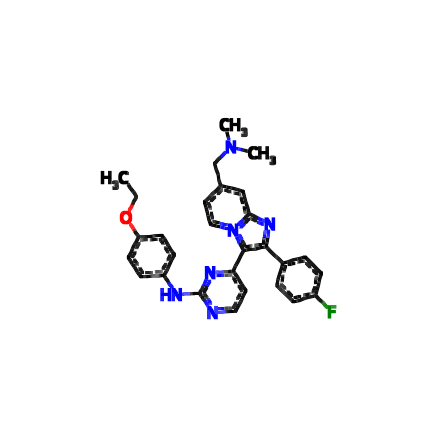 CCOc1ccc(Nc2nccc(-c3c(-c4ccc(F)cc4)nc4cc(CN(C)C)ccn34)n2)cc1